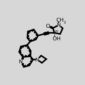 CN1CC[C@@](O)(C#Cc2cccc(-c3ccc4nccc(N5CCC5)c4c3)c2)C1=O